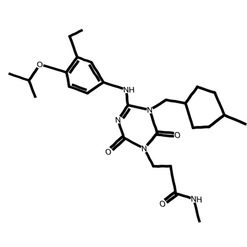 CCc1cc(Nc2nc(=O)n(CCC(=O)NC)c(=O)n2CC2CCC(C)CC2)ccc1OC(C)C